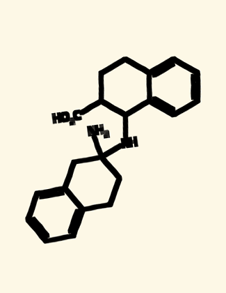 NC1(NC2c3ccccc3CCC2C(=O)O)CCc2ccccc2C1